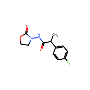 CC(C(=O)NN1CCOC1=O)c1ccc(F)cc1